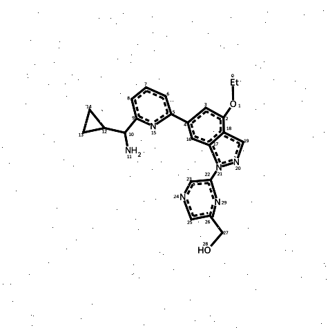 CCOc1cc(-c2cccc(C(N)C3CC3)n2)cc2c1cnn2-c1cncc(CO)n1